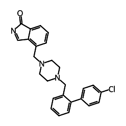 O=C1N=Cc2c(CN3CCN(Cc4ccccc4-c4ccc(Cl)cc4)CC3)cccc21